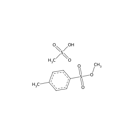 COS(=O)(=O)c1ccc(C)cc1.CS(=O)(=O)O